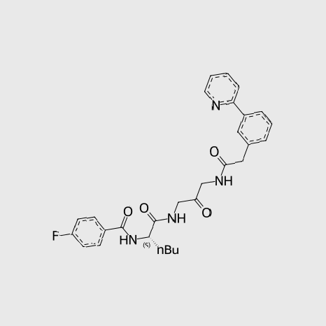 CCCC[C@H](NC(=O)c1ccc(F)cc1)C(=O)NCC(=O)CNC(=O)Cc1cccc(-c2ccccn2)c1